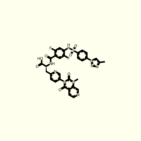 Cc1cn(-c2ccc(S(=O)(=O)Nc3cc(F)c(C(=O)N[C@@H](Cc4ccc(-n5c(=O)c6ccncc6n(C)c5=O)cn4)C(=O)O)cc3F)cc2)nn1